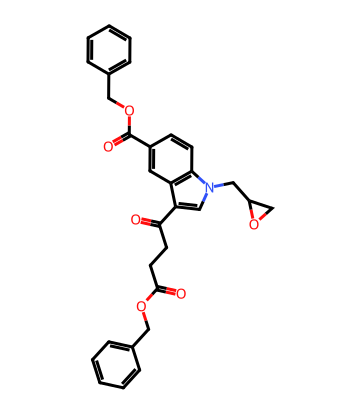 O=C(CCC(=O)c1cn(CC2CO2)c2ccc(C(=O)OCc3ccccc3)cc12)OCc1ccccc1